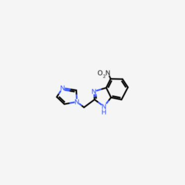 O=[N+]([O-])c1cccc2[nH]c(Cn3ccnc3)nc12